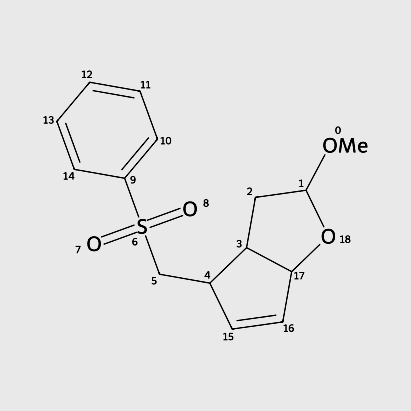 COC1CC2C(CS(=O)(=O)c3ccccc3)C=CC2O1